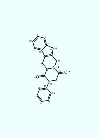 O=C1C2Cc3c([nH]c4ccccc34)CN2C(=O)CN1c1ccccc1